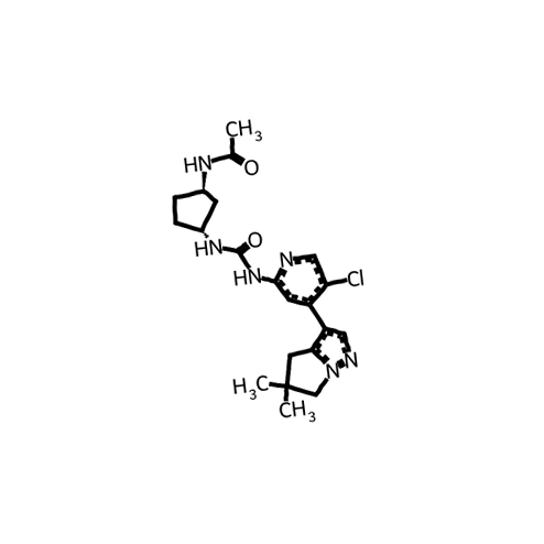 CC(=O)N[C@@H]1CC[C@@H](NC(=O)Nc2cc(-c3cnn4c3CC(C)(C)C4)c(Cl)cn2)C1